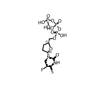 O=c1[nH]c(=S)c(F)cn1[C@H]1CC[C@@H](COP(=O)(O)OP(=O)(O)OP(=O)(O)O)O1